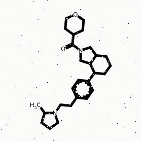 CC1CCCN1CCc1ccc(C2CCCC3CN(C(=O)C4CCOCC4)CC32)cc1